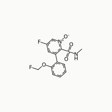 CNS(=O)(=O)c1c(-c2ccccc2OCF)cc(F)c[n+]1[O-]